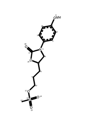 COc1ccc(N2CC(CCCOS(C)(=O)=O)OC2=O)cc1